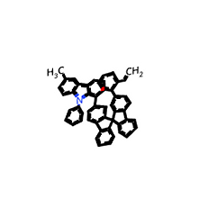 C=Cc1ccccc1-c1ccc2c(c1)C1(c3ccccc3-2)c2ccccc2-c2ccc(-c3cccc4c5cc(C)ccc5n(-c5ccccc5)c34)cc21